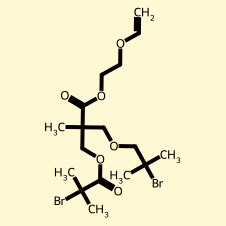 C=COCCOC(=O)C(C)(COCC(C)(C)Br)COC(=O)C(C)(C)Br